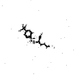 CCCCC(C#N)NS(=O)(=O)c1ccc(C(F)(F)F)cc1